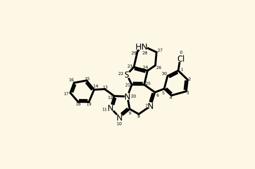 Clc1cccc(C2=NCc3nnc(Cc4ccccc4)n3-c3sc4c(c32)CCNC4)c1